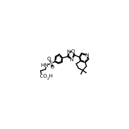 CC1(C)CCc2c(cncc2-c2nc(-c3ccc(S(=O)(=O)NCCC(=O)O)cc3)no2)C1